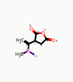 BP(I)C(=C)C1CC(=O)OC1=O